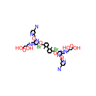 Cc1c(COc2nc(OCc3cc(C#N)ccn3)c(CNCC(O)CC(=O)O)cc2Br)cccc1-c1cccc(COc2nc(OCc3cc(C#N)ccn3)c(CNCC(O)CC(=O)O)cc2Br)c1C